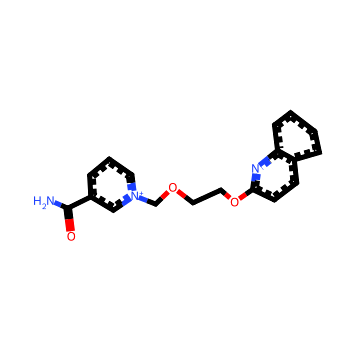 NC(=O)c1ccc[n+](COCCOc2ccc3ccccc3n2)c1